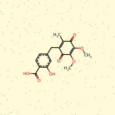 COC1=C(OC)C(=O)C(Cc2ccc(C(=O)O)c(O)c2)=C(C)C1=O